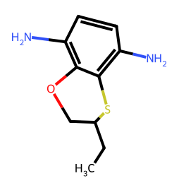 CCC1COc2c(N)ccc(N)c2S1